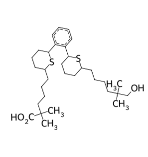 CC(C)(CO)CCCCC1CCCC(c2ccccc2C2CCCC(CCCCC(C)(C)C(=O)O)S2)S1